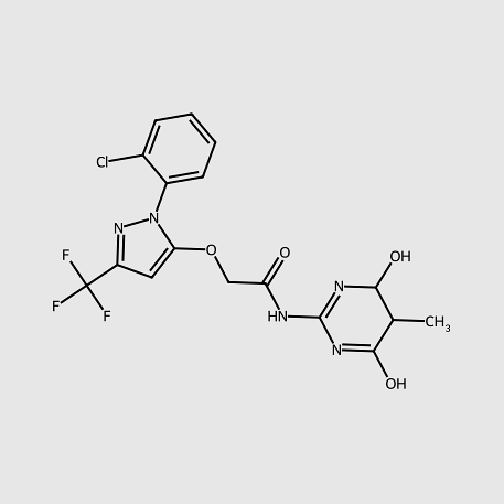 CC1C(O)=NC(NC(=O)COc2cc(C(F)(F)F)nn2-c2ccccc2Cl)=NC1O